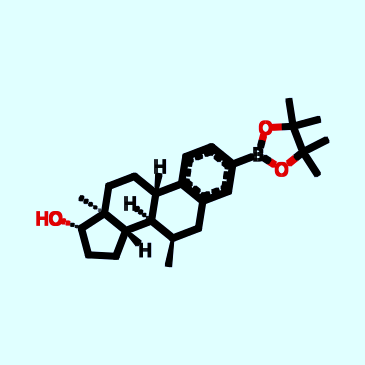 C[C@@H]1Cc2cc(B3OC(C)(C)C(C)(C)O3)ccc2[C@H]2CC[C@]3(C)[C@@H](O)CC[C@H]3[C@H]12